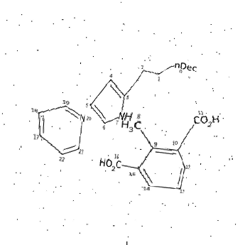 CCCCCCCCCCCCc1ccc[nH]1.Cc1c(C(=O)O)cccc1C(=O)O.c1ccncc1